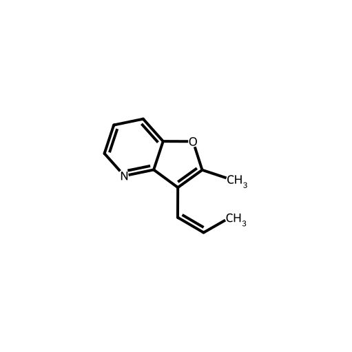 C/C=C\c1c(C)oc2cccnc12